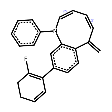 C=C1/C=C\C=C/N(c2ccccc2)c2cc(C3=C(F)CCC=C3)ccc21